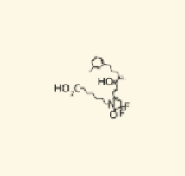 Cc1cccc(CCC[C@H](C)[C@H](O)C=C[C@H]2CC(F)(F)C(=O)N2CCCCCCC(=O)O)c1